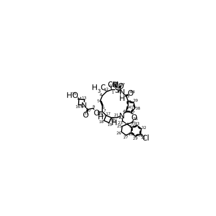 C[C@@H]1[C@@H](C)C/C=C/[C@H](OCC(=O)N2CC(O)C2)[C@@H]2CC[C@H]2CN2C[C@@]3(CCCc4cc(Cl)ccc43)COc3ccc(cc32)C(=O)NS1(=O)=O